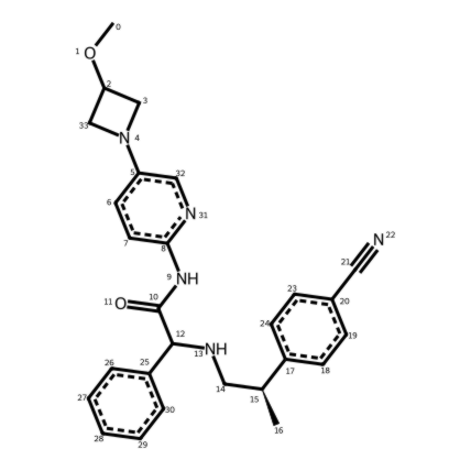 COC1CN(c2ccc(NC(=O)C(NC[C@H](C)c3ccc(C#N)cc3)c3ccccc3)nc2)C1